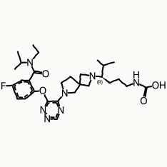 CCN(C(=O)c1cc(F)ccc1Oc1nncnc1N1CCC2(C1)CN([C@H](CCCNC(=O)O)C(C)C)C2)C(C)C